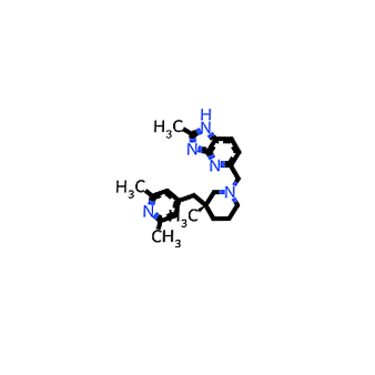 Cc1cc(C[C@@]2(C)CCCN(Cc3ccc4[nH]c(C)nc4n3)C2)cc(C)n1